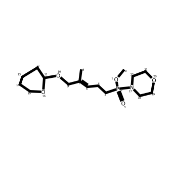 COP(=O)(CC/C=C(\C)COC1CCCCO1)N1CCOCC1